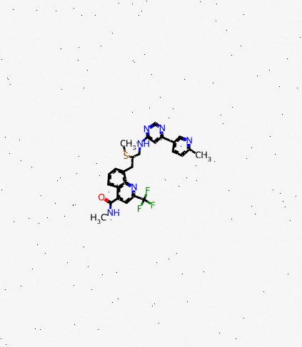 CNC(=O)c1cc(C(F)(F)F)nc2c(CC(CNc3cc(-c4ccc(C)nc4)ncn3)SC)cccc12